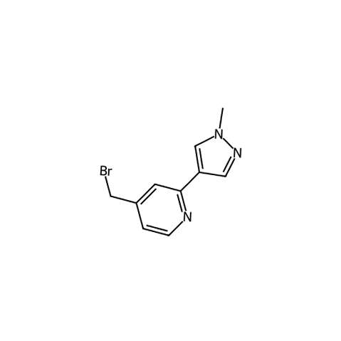 Cn1cc(-c2cc(CBr)ccn2)cn1